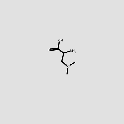 C[S+](C)CC(N)C(=O)O